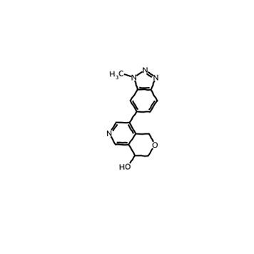 Cn1nnc2ccc(-c3cncc4c3COCC4O)cc21